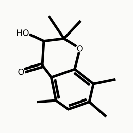 Cc1cc(C)c2c(c1C)OC(C)(C)C(O)C2=O